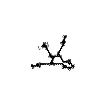 COC(=O)C=Cc1ccc(OCCCCCCCCOc2cc(COc3cc(OCc4cc(OCCCCCCCCOc5ccc(C=CC(=O)OC)cc5OC)cc(OCCCCCCCCOc5ccc(C=CC(=O)OC)cc5OC)c4)cc(C(=O)OCCCCCCOC(=O)c4cc(N)cc(N)c4)c3)cc(OCCCCCCCCOc3ccc(C=CC(=O)OC)cc3OC)c2)c(OC)c1